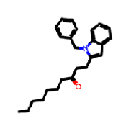 CCCCCCCC(=O)CCc1cc2ccccc2n1Cc1ccccc1